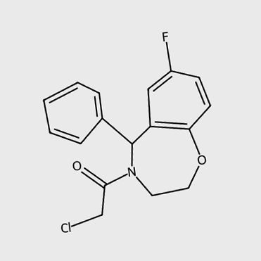 O=C(CCl)N1CCOc2ccc(F)cc2C1c1ccccc1